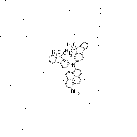 Bc1ccc2ccc3c(N(c4ccc5c(c4)C(C)(C)c4ccccc4-5)c4ccc5c(c4)C(C)(C)c4ccccc4-5)ccc4ccc1c2c43